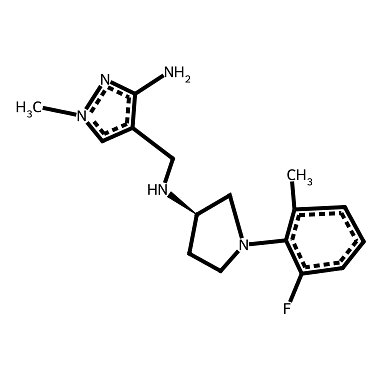 Cc1cccc(F)c1N1CC[C@@H](NCc2cn(C)nc2N)C1